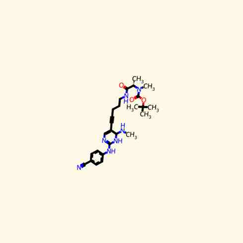 CNC1NC(Nc2ccc(C#N)cc2)=NC=C1C#CCCCNC(=O)[C@H](C)N(C)C(=O)OC(C)(C)C